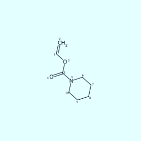 C=COC(=O)N1CCCCC1